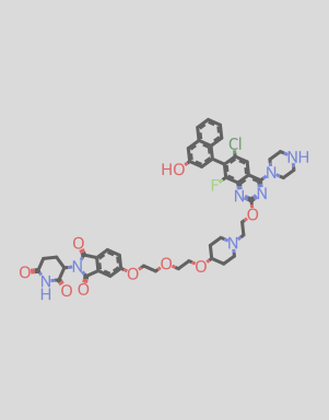 O=C1CCC(N2C(=O)c3ccc(OCCOCCOC4CCN(CCOc5nc(N6CCNCC6)c6cc(Cl)c(-c7cc(O)cc8ccccc78)c(F)c6n5)CC4)cc3C2=O)C(=O)N1